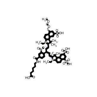 CCN1/C(=C/C=C(/C=C/C2=[N+](CC)c3ccc4c(SOOOC)cc(S(=O)(=O)O)cc4c3C2(C)C)c2ccc(C(=O)NCCCCCC(=O)O)cc2[N+](=O)[O-])C(C)(C)c2c1ccc1c(S(=O)(=O)O)cc(S(=O)(=O)O)cc21